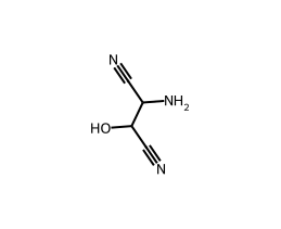 N#CC(N)C(O)C#N